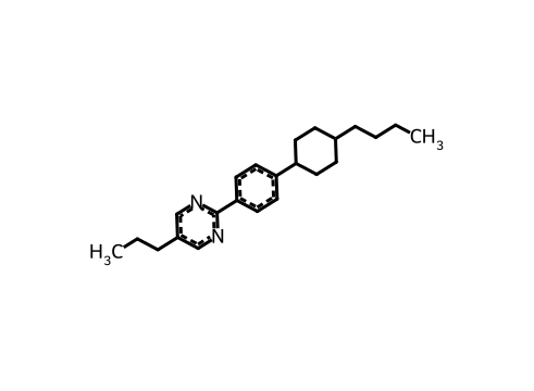 CCCCC1CCC(c2ccc(-c3ncc(CCC)cn3)cc2)CC1